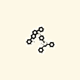 c1ccc(-c2cc(-c3ccccc3)nc(-c3ccc(-n4c5ccccc5c5ccc6cc7c(cc6c54)sc4ccccc47)cc3)n2)cc1